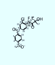 C[S+]([O-])c1ccc([S+]([O-])c2ccc(NC(=O)C(C)(O)C(F)(F)F)c(Cl)c2)cc1